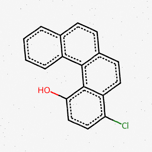 Oc1ccc(Cl)c2ccc3ccc4ccccc4c3c12